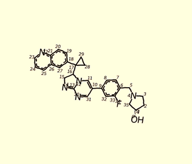 O[C@H]1CCN(Cc2ccc(C3=CN4C(=NCC4C4(c5ccc6ncccc6c5)CC4)N=C3)cc2F)C1